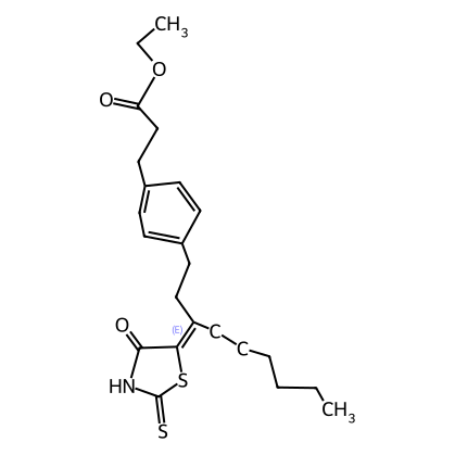 CCCCCC/C(CCc1ccc(CCC(=O)OCC)cc1)=C1\SC(=S)NC1=O